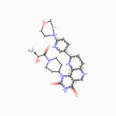 C[C@H](O)C(=O)N1CCC(n2c(=O)[nH]c(=O)c3cnc4ccc(-c5ccc(N6CCOCC6)nc5)nc4c32)CC1